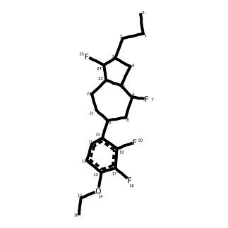 CCCC1CC2C(F)CC(c3ccc(OCC)c(F)c3F)CCC2C1F